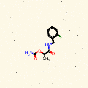 C[C@H](OC(N)=O)C(=O)NCc1ccccc1F